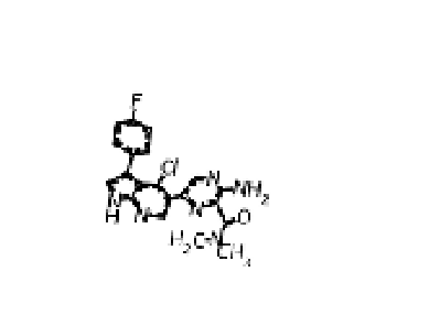 CN(C)C(=O)c1nc(-c2cnc3[nH]cc(-c4ccc(F)cc4)c3c2Cl)cnc1N